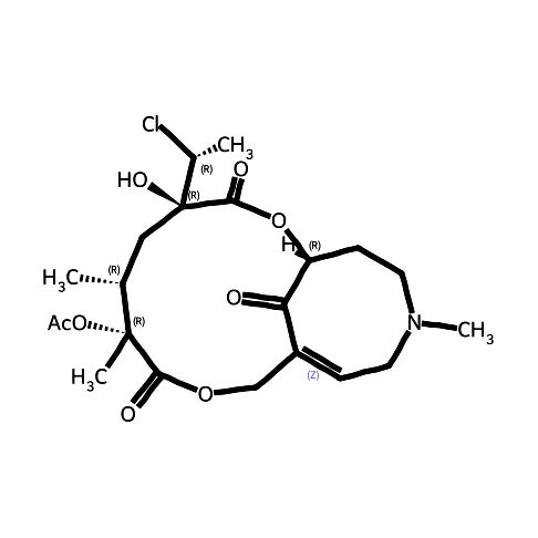 CC(=O)O[C@@]1(C)C(=O)OC/C2=C/CN(C)CC[C@@H](OC(=O)[C@@](O)([C@@H](C)Cl)C[C@H]1C)C2=O